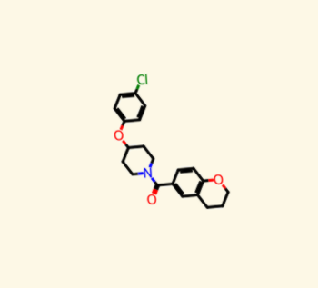 O=C(c1ccc2c(c1)CCCO2)N1CCC(Oc2ccc(Cl)cc2)CC1